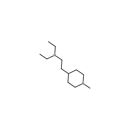 CCN(CC)CCC1CCN(C)CC1